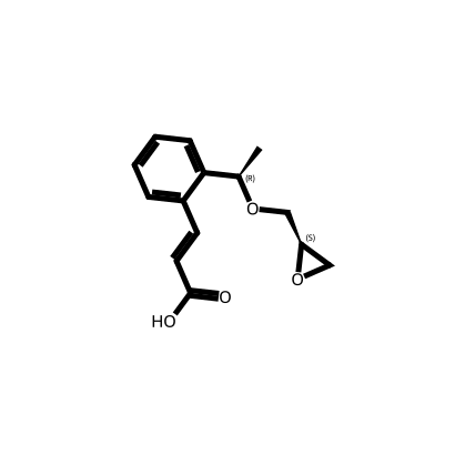 C[C@@H](OC[C@H]1CO1)c1ccccc1C=CC(=O)O